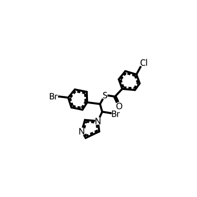 O=C(SC(c1ccc(Br)cc1)C(Br)n1ccnc1)c1ccc(Cl)cc1